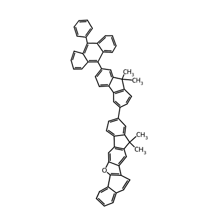 CC1(C)c2ccc(-c3ccc4c(c3)C(C)(C)c3cc5c(cc3-4)oc3c4ccccc4ccc53)cc2-c2ccc(-c3c4ccccc4c(-c4ccccc4)c4ccccc34)cc21